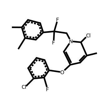 CC1=CC(Oc2cccc(Cl)c2F)=CN(CC(F)(F)c2ccc(C)c(C)c2)C1Cl